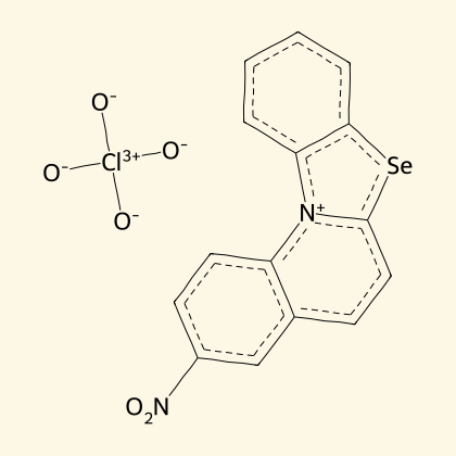 O=[N+]([O-])c1ccc2c(ccc3[se]c4ccccc4[n+]32)c1.[O-][Cl+3]([O-])([O-])[O-]